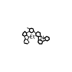 CCC1c2c(cccc2-c2cc(-c3ccc4c(c3)c3cccc5c6ccccc6n4c53)ccc2C)C2=CC=CCC21